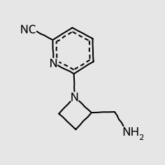 N#Cc1cccc(N2CCC2CN)n1